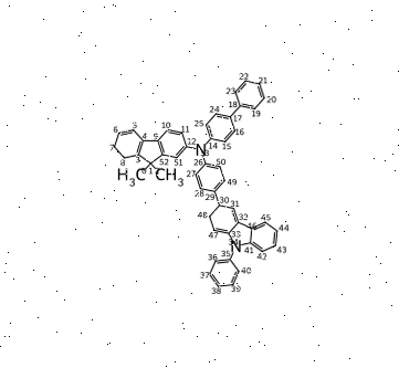 CC1(C)C2=C(C=CCC2)c2ccc(N(c3ccc(-c4ccccc4)cc3)c3ccc(C4C=c5c(n(-c6ccccc6)c6ccccc56)=CC4)cc3)cc21